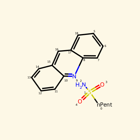 CCCCCS(N)(=O)=O.c1ccc2nc3ccccc3cc2c1